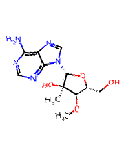 CO[C@@H]1[C@@H](CO)O[C@@H](n2cnc3c(N)ncnc32)[C@]1(C)O